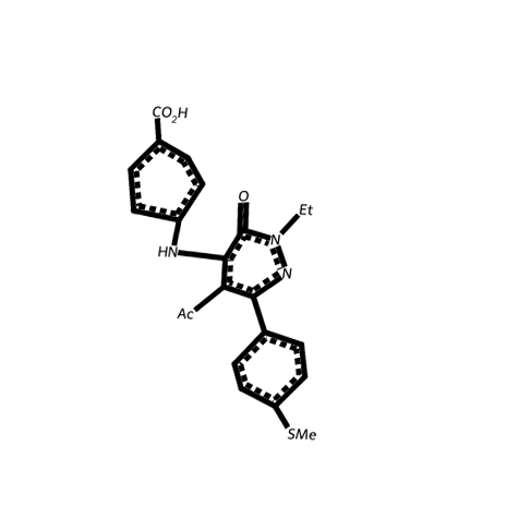 CCn1nc(-c2ccc(SC)cc2)c(C(C)=O)c(Nc2ccc(C(=O)O)cc2)c1=O